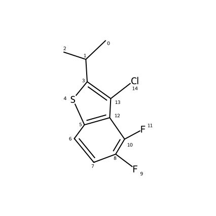 CC(C)c1sc2ccc(F)c(F)c2c1Cl